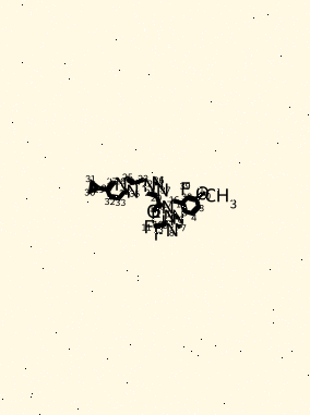 COc1ccc(-n2cnc(C(F)(F)F)n2)c(CNC(=O)c2cn(Cc3cn4cc(C5CC5)ccc4n3)nn2)c1F